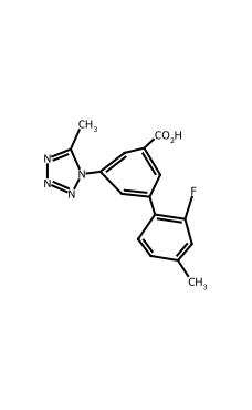 Cc1ccc(-c2cc(C(=O)O)cc(-n3nnnc3C)c2)c(F)c1